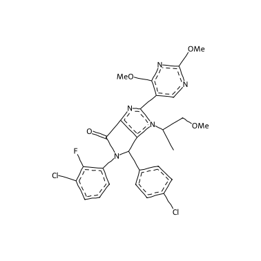 COCC(C)n1c(-c2cnc(OC)nc2OC)nc2c1C(c1ccc(Cl)cc1)N(c1cccc(Cl)c1F)C2=O